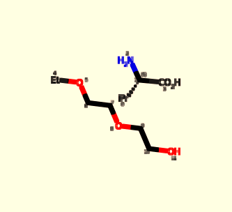 CC(C)[C@H](N)C(=O)O.CCOCCOCCO